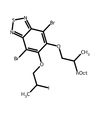 CCCCCCCCC(C)COc1c(OCC(C)I)c(Br)c2nsnc2c1Br